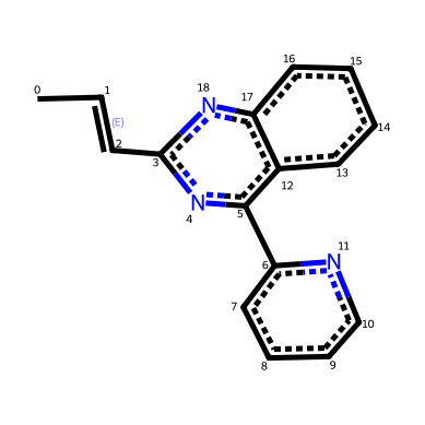 C/C=C/c1nc(-c2ccccn2)c2ccccc2n1